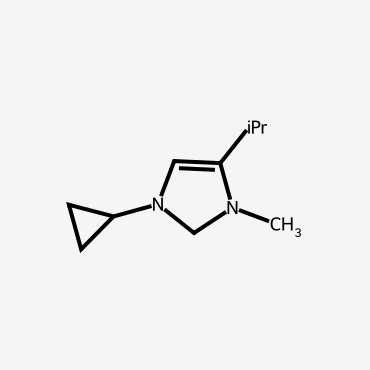 CC(C)C1=CN(C2CC2)CN1C